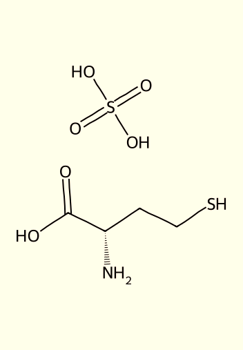 N[C@@H](CCS)C(=O)O.O=S(=O)(O)O